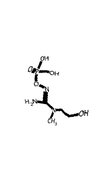 CN(CCO)/C(N)=N/OP(=O)(O)O